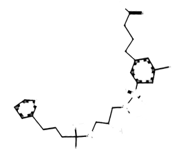 CN(C[C@H](O)CNC(C)(C)CCCc1cccs1)S(=O)(=O)c1cc(Cl)cc(CCCC(=O)O)c1